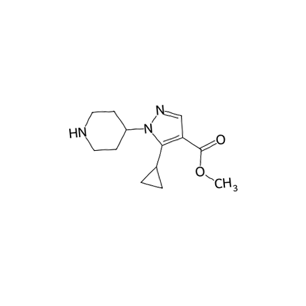 COC(=O)c1cnn(C2CCNCC2)c1C1CC1